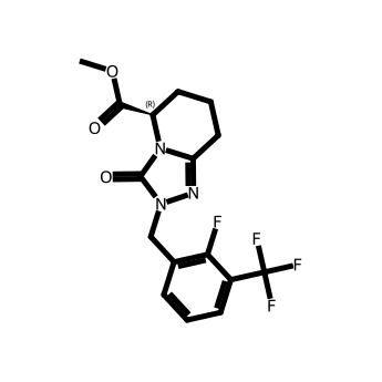 COC(=O)[C@H]1CCCc2nn(Cc3cccc(C(F)(F)F)c3F)c(=O)n21